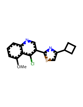 COc1cccc2n[c]c(-c3nc(C4CCC4)cs3)c(Cl)c12